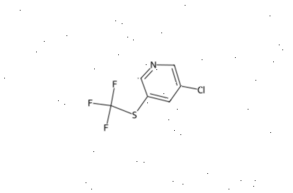 FC(F)(F)Sc1[c]ncc(Cl)c1